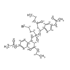 CCOC(=O)CC(OP(=O)(CCCBr)OC(CC(=O)OCC)c1ccc(OC(C)=O)cc1)c1ccc(OC(C)=O)cc1